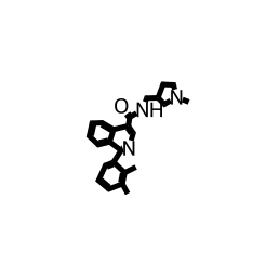 Cc1cccc(-c2ncc(C(=O)NCC3CCN(C)C3)c3ccccc23)c1C